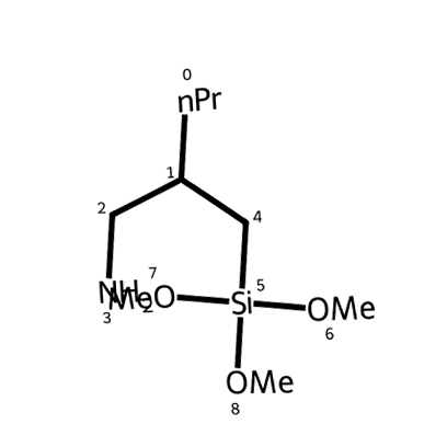 CCCC(CN)C[Si](OC)(OC)OC